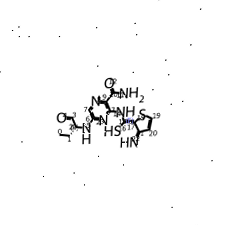 CC[C@H](C=O)Nc1cnc(C(N)=O)c(N/C(S)=C2\SC=CC2=N)n1